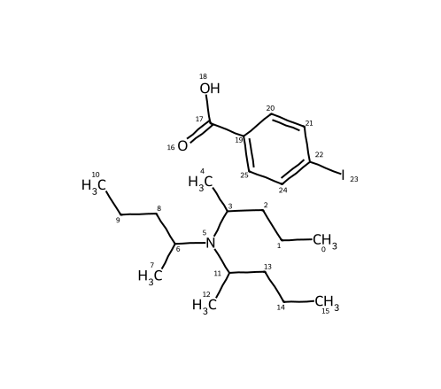 CCCC(C)N(C(C)CCC)C(C)CCC.O=C(O)c1ccc(I)cc1